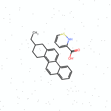 CCC1CCc2c(ccc3c2ccc2ccccc23)C1.O=C(O)C1=CC=CSN1